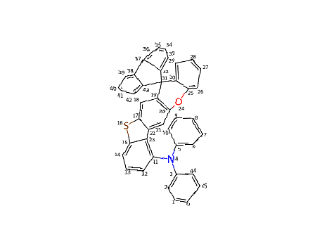 c1ccc(N(c2ccccc2)c2cccc3sc4cc5c(cc4c23)Oc2ccccc2C52c3ccccc3-c3ccccc32)cc1